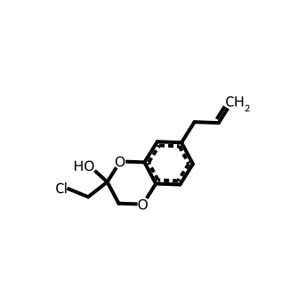 C=CCc1ccc2c(c1)OC(O)(CCl)CO2